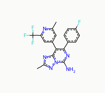 Cc1cc(-c2c(-c3ccc(F)cc3)nc(N)n3nc(C)nc23)cc(C(F)(F)F)n1